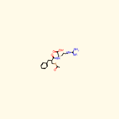 CC(=O)SCC(Cc1ccccc1)C(=O)N[C@@H](CCCNC(=N)N)C(=O)O